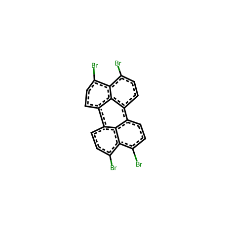 Brc1ccc2c3ccc(Br)c4c(Br)ccc(c5ccc(Br)c1c25)c43